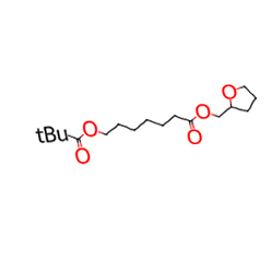 CC(C)(C)C(=O)OCCCCCCC(=O)OCC1CCCO1